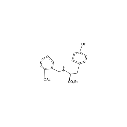 CCOC(=O)[C@H](Cc1ccc(O)cc1)NCc1ccccc1OC(C)=O